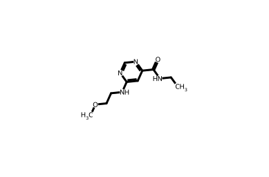 CCNC(=O)c1cc(NCCOC)ncn1